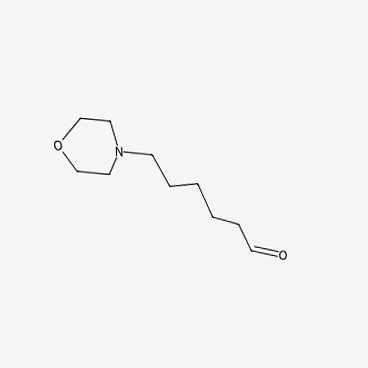 O=CCCCCCN1CCOCC1